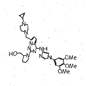 COc1cc(-n2cnc(Nc3nc(N4CCCC4CO)nn4c(CN5CCN(C6CC6)CC5)ccc34)c2)cc(OC)c1OC